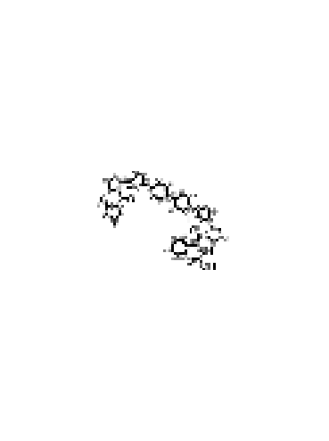 CN1C[C@H](F)C[C@@H]1C(=O)N1CCC[C@H]1c1ncc(-c2ccc(-c3ccc(-c4cnc([C@@H]5CCCN5C(=O)[C@H](NC(=O)O)c5ccccc5)[nH]4)cc3)cc2)[nH]1